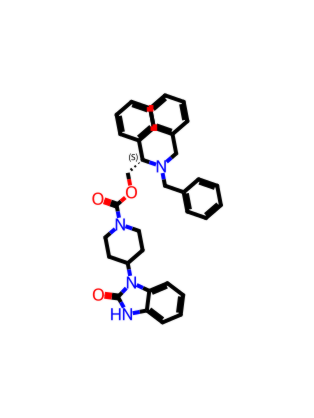 O=C(OC[C@H](c1ccccc1)N(Cc1ccccc1)Cc1ccccc1)N1CCC(n2c(=O)[nH]c3ccccc32)CC1